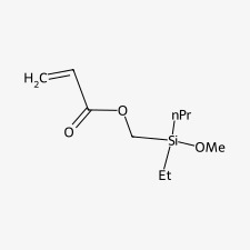 C=CC(=O)OC[Si](CC)(CCC)OC